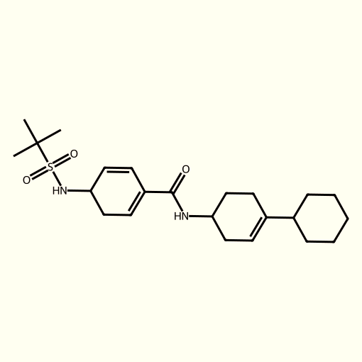 CC(C)(C)S(=O)(=O)NC1C=CC(C(=O)NC2CC=C(C3CCCCC3)CC2)=CC1